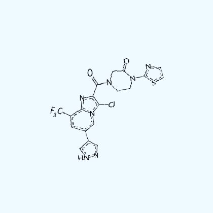 O=C(c1nc2c(C(F)(F)F)cc(-c3cn[nH]c3)cn2c1Cl)N1CCN(c2nccs2)C(=O)C1